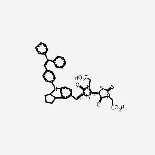 O=C(O)CN1C(=O)/C(=c2\s/c(=C/c3ccc4c(c3)C3CCCC3N4c3ccc(C=C(c4ccccc4)c4ccccc4)cc3)c(=O)n2CC(=O)O)SC1=S